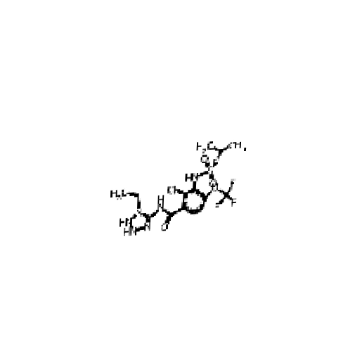 CCN1NNN=C1NC(=O)c1ccc(OC(F)(F)F)c(NS(=O)(=O)CC(C)C)c1Cl